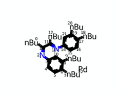 CCCCC(=Nc1ccc(CCCC)c(CCCC)c1)C(CCCC)=Nc1ccc(CCCC)c(CCCC)c1.[Pd]